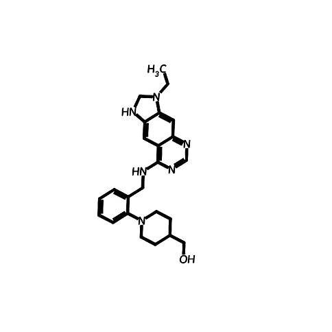 CCN1CNc2cc3c(NCc4ccccc4N4CCC(CO)CC4)ncnc3cc21